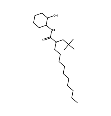 CCCCCCCCCCN(CC(C)(C)C)C(=O)NC1CCCCC1O